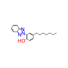 CCCCCCCc1ccc(O)c(-n2nc3ccccc3n2)c1